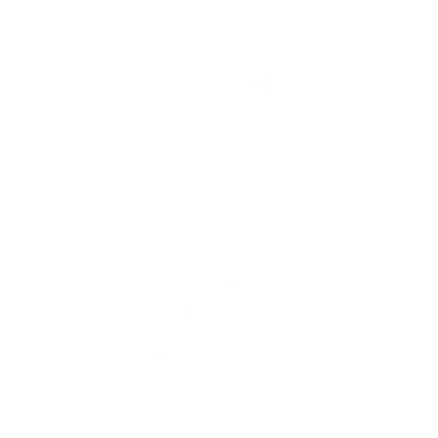 CCCCCCc1cc(Br)sc1-c1oc2cccc3c4c(-c5sc(Br)cc5CCCCCC)oc5cccc(c1c23)c54